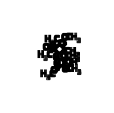 C=C1CC(OC2OC(COC)C(OC)C(O)C2OC)C2C(C)C(=O)OC2C2C1CC(OC)C2C